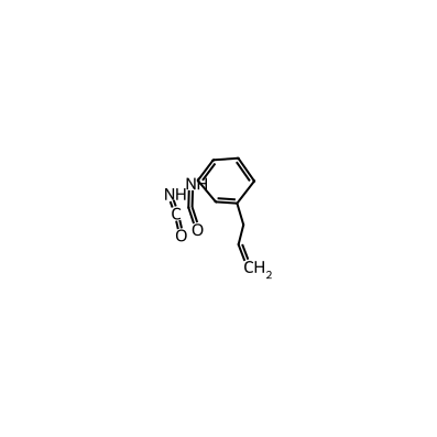 C=CCc1ccccc1.N=C=O.N=C=O